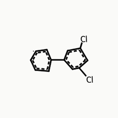 Clc1cc(Cl)cc(-c2c[c]ccc2)c1